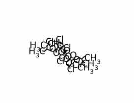 CCC(C)C(CC)COC(=O)c1c(Cl)c(Cl)cc(Cl)c1OC(=O)C(=O)Oc1c(Cl)cc(Cl)c(Cl)c1C(=O)OCC(CC)C(C)CC